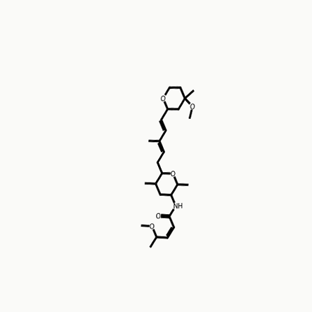 COC(C)/C=C\C(=O)NC1CC(C)C(C/C=C(C)/C=C/C2CC(C)(OC)CCO2)OC1C